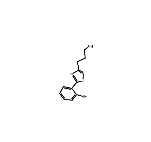 CCc1ccccc1-c1nc(CCCO)no1